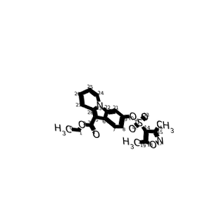 CCOC(=O)c1c2ccc(OS(=O)(=O)c3c(C)noc3C)cc2n2ccccc12